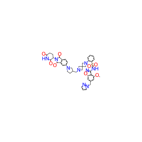 COc1cc(Cn2cccn2)cc2onc(NS(=O)(=O)c3ccccc3N3CC4(CN(CC5CCN(c6ccc7c(c6)C(=O)N(C6CCC(=O)NC6=O)C7=O)C5)C4)C3)c12